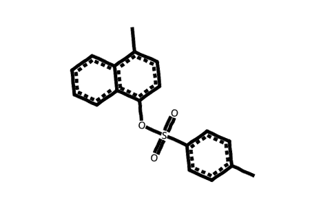 Cc1ccc(S(=O)(=O)Oc2ccc(C)c3ccccc23)cc1